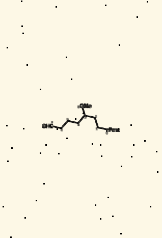 CCCCCCCC(CCCC=O)OC